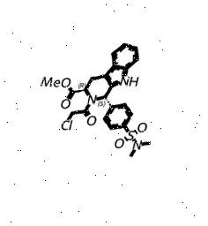 COC(=O)[C@H]1Cc2c([nH]c3ccccc23)[C@H](c2ccc(S(=O)(=O)N(C)C)cc2)N1C(=O)CCl